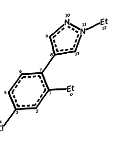 CCc1cc(Cl)ccc1-c1cnn(CC)c1